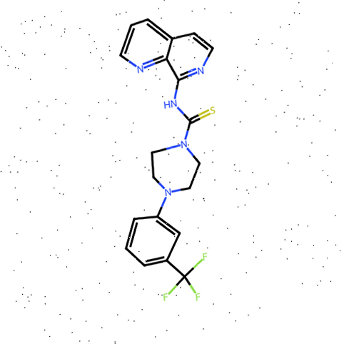 FC(F)(F)c1cccc(N2CCN(C(=S)Nc3nccc4cccnc34)CC2)c1